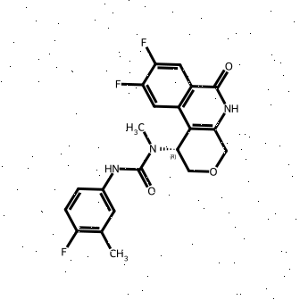 Cc1cc(NC(=O)N(C)[C@H]2COCc3[nH]c(=O)c4cc(F)c(F)cc4c32)ccc1F